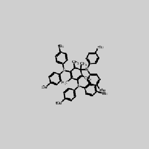 CC1=C(N(c2ccc(C(C)(C)C)cc2)c2ccc(C(C)(C)C)cc2)C(C)C(C)(N(c2ccc(C(C)(C)C)cc2)c2ccc(C(C)(C)C)cc2)C(C)=C1N(c1ccc(C(C)(C)C)cc1)c1ccc(C(C)(C)C)cc1